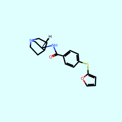 O=C(N[C@H]1CN2CCC1CC2)c1ccc(Sc2ccco2)cc1